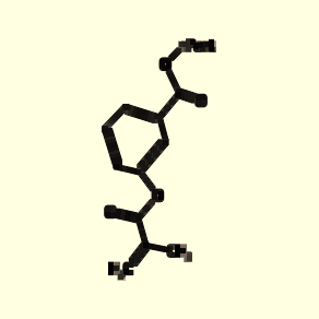 C=C(C)C(=O)Oc1cccc(C(=O)OCCCCC)c1